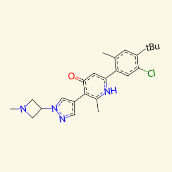 Cc1cc(C(C)(C)C)c(Cl)cc1-c1cc(=O)c(-c2cnn(C3CN(C)C3)c2)c(C)[nH]1